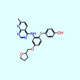 Cc1ccc2c(Nc3cc(OCC4CCCO4)ccc3Sc3ccc(O)cc3)ncnc2n1